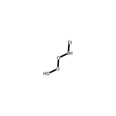 CCBOOO